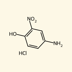 Cl.Nc1ccc(O)c([N+](=O)[O-])c1